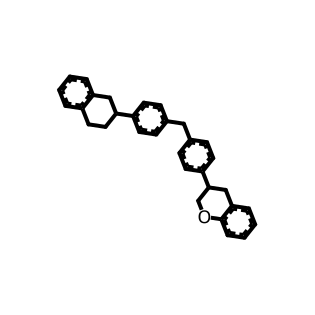 c1ccc2c(c1)CCC(c1ccc(Cc3ccc(C4COc5ccccc5C4)cc3)cc1)C2